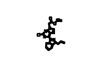 C=CCc1nn(-c2nc(Cl)nc3c2ncn3CC(=O)OC(C)(C)C)c2ccccc12